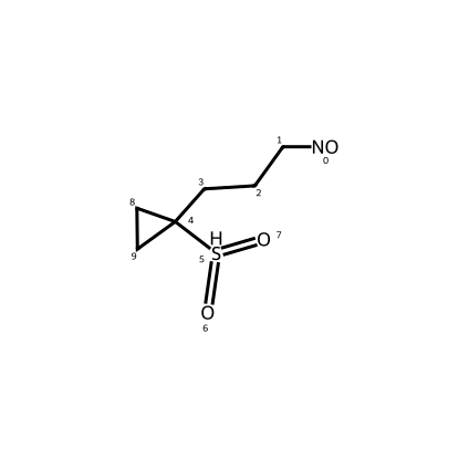 O=NCCCC1([SH](=O)=O)CC1